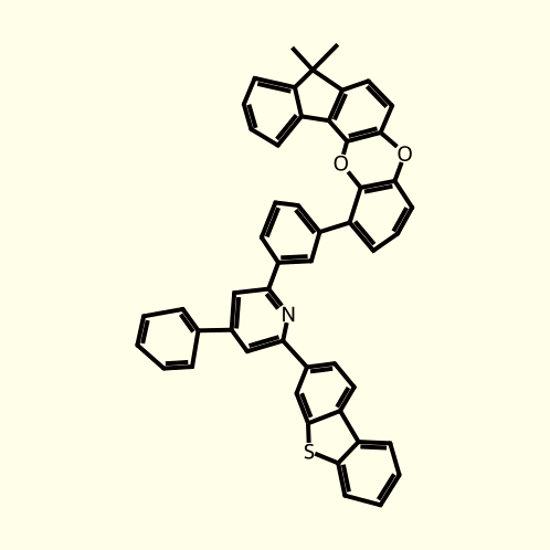 CC1(C)c2ccccc2-c2c1ccc1c2Oc2c(cccc2-c2cccc(-c3cc(-c4ccccc4)cc(-c4ccc5c(c4)sc4ccccc45)n3)c2)O1